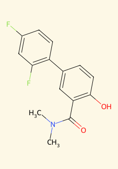 CN(C)C(=O)c1cc(-c2ccc(F)cc2F)ccc1O